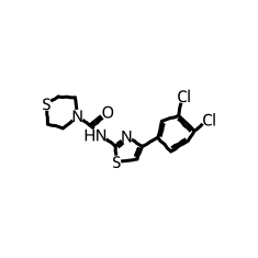 O=C(Nc1nc(-c2ccc(Cl)c(Cl)c2)cs1)N1CCSCC1